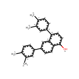 Cc1ccc(-c2ccc3c(O)ccc(-c4ccc(C)c(C)c4)c3c2)cc1C